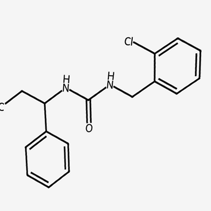 CCC(NC(=O)NCc1ccccc1Cl)c1ccccc1